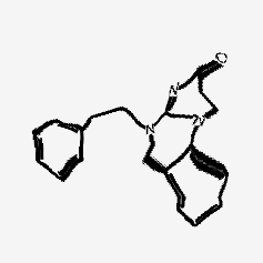 O=C1CN2C(=N1)N(Cc1ccccc1)Cc1ccccc12